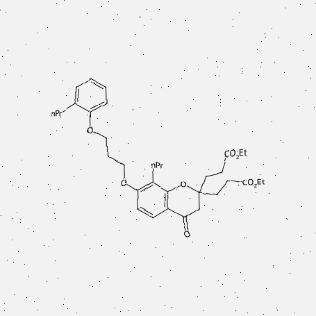 CCCc1ccccc1OCCCOc1ccc2c(c1CCC)OC(CCC(=O)OCC)(CCC(=O)OCC)CC2=O